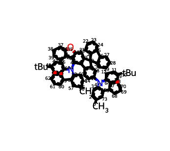 Cc1ccc(N(c2ccc(C(C)(C)C)cc2)c2ccc3c(c2)C2(c4ccccc4-c4ccccc42)c2cc4oc5ccccc5c4c(N(c4ccc(C(C)(C)C)cc4)c4ccc(C)cc4-c4ccccc4)c2-3)c(-c2ccccc2)c1